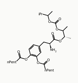 CCCCCC(=O)Oc1ccc(C[C@H](N)C(=O)O[C@@H](C)C(C)OC(=O)OC(C)C(C)C)cc1OC(=O)CCCCC